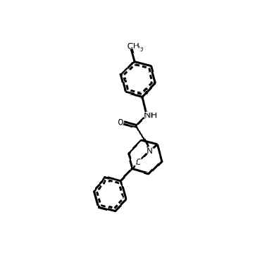 Cc1ccc(NC(=O)N2CC3(c4ccccc4)CCC2CC3)cc1